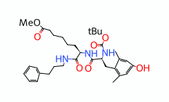 COC(=O)CCCCC[C@@H](NC(=O)[C@H](Cc1c(C)cc(O)cc1C)NC(=O)OC(C)(C)C)C(=O)NCCCc1ccccc1